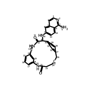 Nc1nccc2cc(NC3C(=O)NCc4cccc(c4)NC(=O)CCCCc4ccc3cc4)ccc12